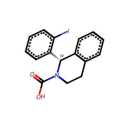 O=C(O)N1CCc2ccccc2[C@H]1c1ccccc1I